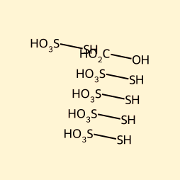 O=C(O)O.O=S(=O)(O)S.O=S(=O)(O)S.O=S(=O)(O)S.O=S(=O)(O)S.O=S(=O)(O)S